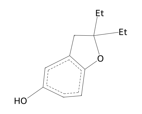 CCC1(CC)Cc2cc(O)ccc2O1